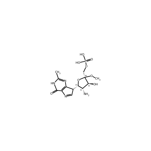 CO[C@]1(COP(=O)(O)O)O[C@@H](C2C=Nc3c2nc(C)[nH]c3=O)[C@@H](N)[C@@H]1O